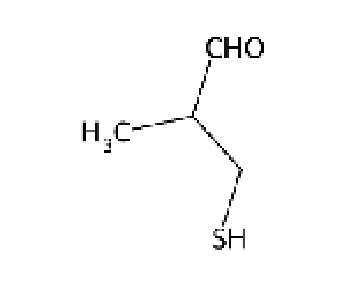 CC(C=O)CS